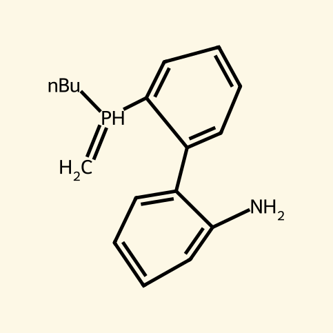 C=[PH](CCCC)c1ccccc1-c1ccccc1N